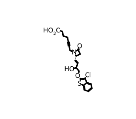 O=C(O)CCCC#CCN1C(=O)C[C@@H]1/C=C/C(O)COc1sc2ccccc2c1Cl